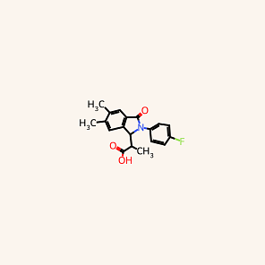 Cc1cc2c(cc1C)C(C(C)C(=O)O)N(c1ccc(F)cc1)C2=O